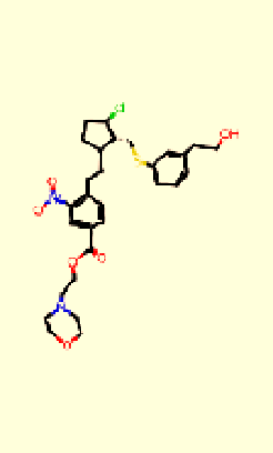 O=C(OCCN1CCOCC1)c1ccc(CC[C@H]2CCC(Cl)[C@@H]2CSc2cccc(CCO)c2)c([N+](=O)[O-])c1